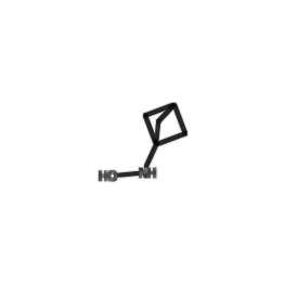 ONC12CC(C1)C2